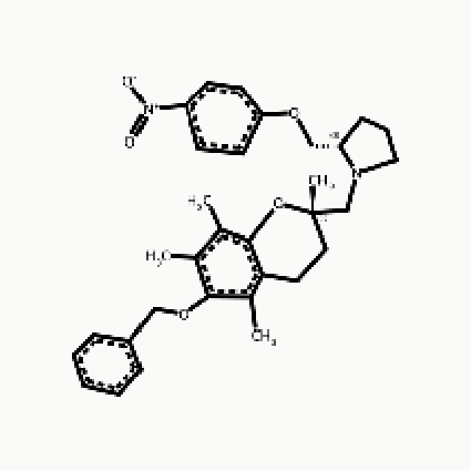 Cc1c(C)c2c(c(C)c1OCc1ccccc1)CC[C@@](C)(CN1CCC[C@H]1COc1ccc([N+](=O)[O-])cc1)O2